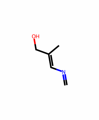 C=N/C=C(\C)CO